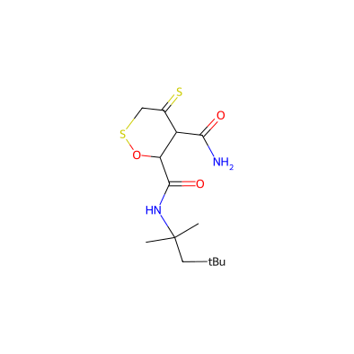 CC(C)(C)CC(C)(C)NC(=O)C1OSCC(=S)C1C(N)=O